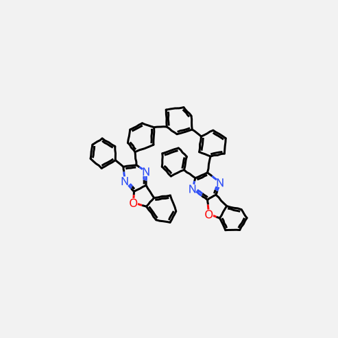 c1ccc(-c2nc3oc4ccccc4c3nc2-c2cccc(-c3cccc(-c4cccc(-c5nc6c(nc5-c5ccccc5)oc5ccccc56)c4)c3)c2)cc1